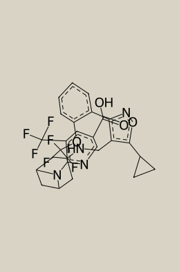 O=C(O)c1cnc(N2C3CC(NCc4c(-c5ccccc5OC(F)(F)F)noc4C4CC4)CC2C3)c(C(F)(F)F)c1